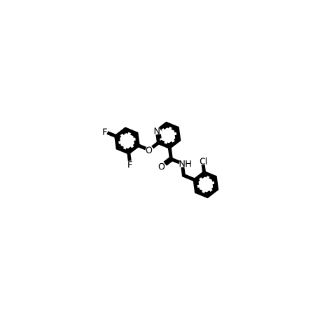 O=C(NCc1ccccc1Cl)c1cccnc1Oc1ccc(F)cc1F